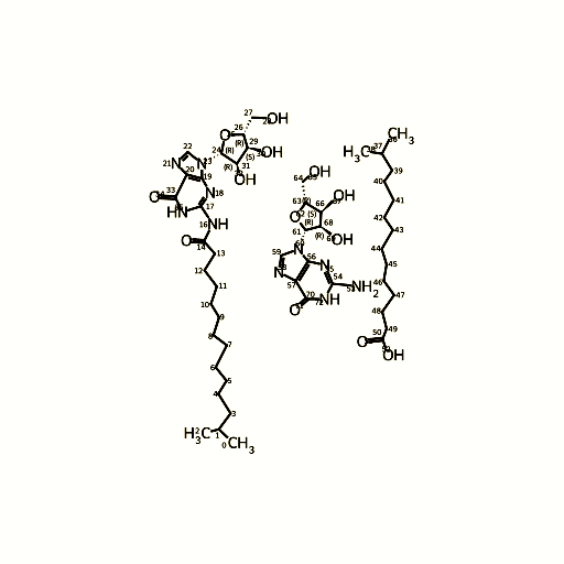 CC(C)CCCCCCCCCCCC(=O)Nc1nc2c(ncn2[C@@H]2O[C@H](CO)[C@@H](O)[C@H]2O)c(=O)[nH]1.CC(C)CCCCCCCCCCCC(=O)O.Nc1nc2c(ncn2[C@@H]2O[C@H](CO)[C@@H](O)[C@H]2O)c(=O)[nH]1